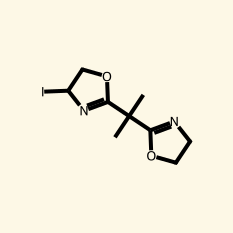 CC(C)(C1=NCCO1)C1=NC(I)CO1